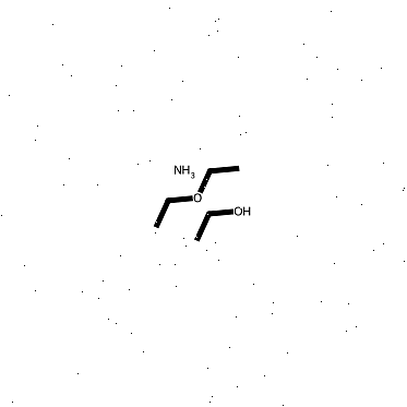 CCO.CCOCC.N